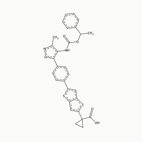 Cc1noc(-c2ccc(-c3cc4sc(C5(C(=O)O)CC5)cc4s3)cc2)c1NC(=O)OC(C)c1ccccc1